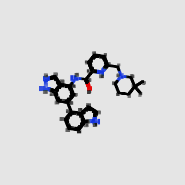 CC1(C)CCCN(Cc2cccc(C(=O)Nc3cc(-c4cccc5[nH]ccc45)cc4[nH]ncc34)n2)C1